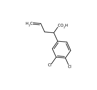 C=CCC(C(=O)O)c1ccc(Cl)c(Cl)c1